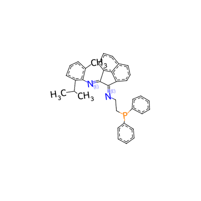 Cc1cccc(C(C)C)c1/N=C1/C(=N/CCP(c2ccccc2)c2ccccc2)c2cccc3cccc1c23